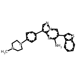 CN1CCN(c2ccc(-c3cnn4cc(-c5csc6ccccc56)c(N)nc34)cc2)CC1